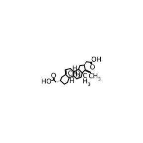 CC=C1[C@H](CC(=O)O)C[C@@H]2[C@@H]3CC=C4C[C@@H](CC(=O)O)CC[C@]4(C)[C@H]3CC[C@]12C